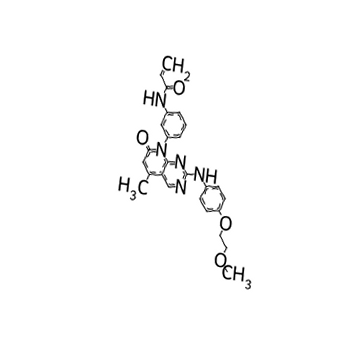 C=CC(=O)Nc1cccc(-n2c(=O)cc(C)c3cnc(Nc4ccc(OCCOC)cc4)nc32)c1